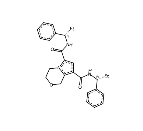 CC[C@H](NC(=O)c1cc(C(=O)N[C@H](CC)c2ccccc2)c2n1CCOC2)c1ccccc1